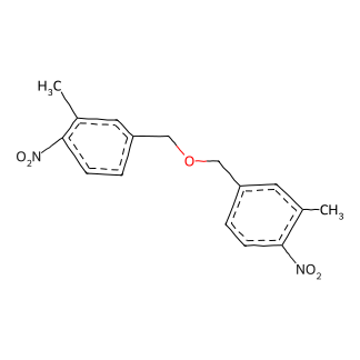 Cc1cc(COCc2ccc([N+](=O)[O-])c(C)c2)ccc1[N+](=O)[O-]